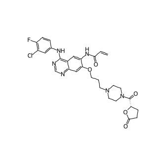 C=CC(=O)Nc1cc2c(Nc3ccc(F)c(Cl)c3)ncnc2cc1OCCCN1CCN(C(=O)[C@@H]2CCC(=O)O2)CC1